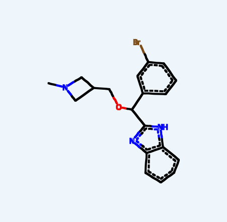 CN1CC(COC(c2cccc(Br)c2)c2nc3ccccc3[nH]2)C1